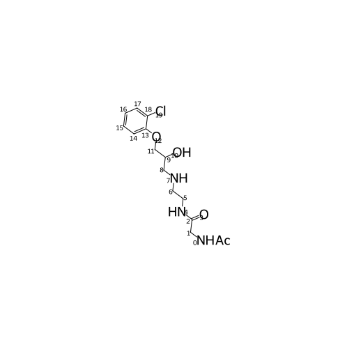 CC(=O)NCC(=O)NCCNCC(O)COc1ccccc1Cl